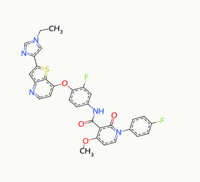 CCn1cnc(-c2cc3nccc(Oc4ccc(NC(=O)c5c(OC)ccn(-c6ccc(F)cc6)c5=O)cc4F)c3s2)c1